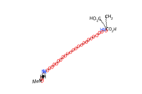 C=CCCCCCCCCCC(CCCCCCCCCCC(=O)O)(C(=O)O)C(=O)NCCOCCOCCOCCOCCOCCOCCOCCOCCOCCOCCOCCOCCOCCOCCOCCOCCOCCOCCOCCOCCOCCOCCOCCn1nnc2c1CC[C@H]1[C@@H](CC2)[C@H]1COC(=O)NC